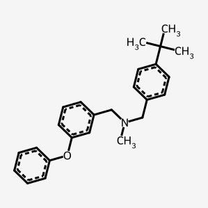 CN(Cc1ccc(C(C)(C)C)cc1)Cc1cccc(Oc2ccccc2)c1